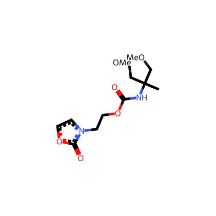 COCC(C)(COC)NC(=O)OCCn1ccoc1=O